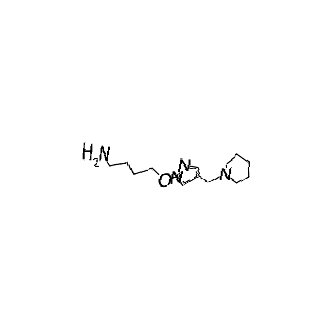 NCCCCOn1cc(CN2CCCCC2)cn1